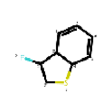 FC1[C]SC2C=CC=CC12